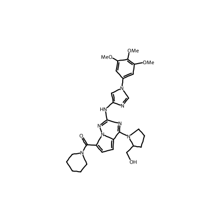 COc1cc(-n2cnc(Nc3nc(N4CCCC4CO)c4ccc(C(=O)N5CCCCC5)n4n3)c2)cc(OC)c1OC